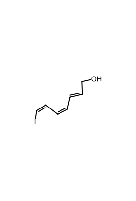 OC/C=C/C=C\C=C/I